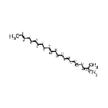 CCCCCCCCCCCCCCCCCCOCCC(C)C